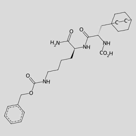 NC(=O)[C@H](CCCCNC(=O)OCc1ccccc1)NC(=O)[C@H](CC12CCC(CC1)CC2)NC(=O)O